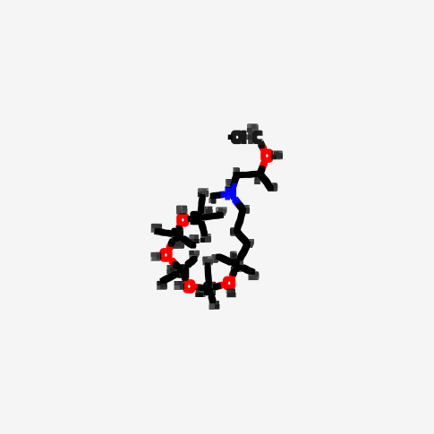 CC(CN(C)CCC[Si](C)(C)O[Si](C)(C)O[Si](C)(C)O[Si](C)(C)O[Si](C)(C)C)O[C]=O